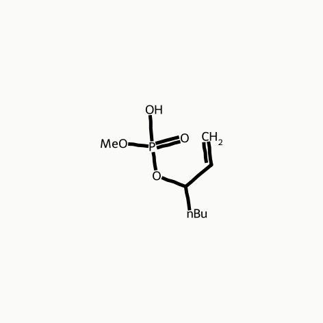 C=CC(CCCC)OP(=O)(O)OC